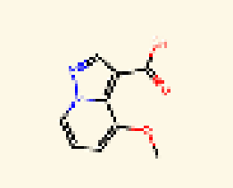 COc1cccn2ncc(C(=O)O)c12